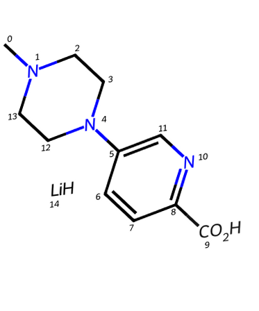 CN1CCN(c2ccc(C(=O)O)nc2)CC1.[LiH]